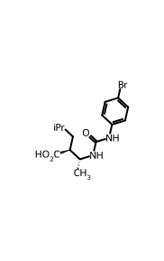 CC(C)C[C@H](C(=O)O)[C@@H](C)NC(=O)Nc1ccc(Br)cc1